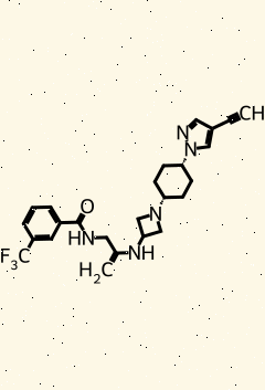 C#Cc1cnn([C@H]2CC[C@@H](N3CC(NC(=C)CNC(=O)c4cccc(C(F)(F)F)c4)C3)CC2)c1